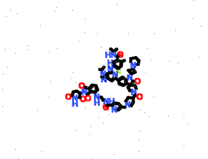 Cc1cc(F)c(Nc2nc(-c3ccc4c(c3)N(C3CC(N5CCCCC5)C3)C(=O)C43CCN(C(=O)C4CCN(Cc5ccc(C(=O)NCCNc6cccc7c6C(=O)N(C6CCC(=O)NC6=O)C7=O)nc5)CC4)CC3)cc3ncn(C(C)C)c23)cc1C(=O)NC(C)C